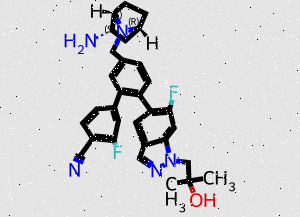 CC(C)(O)Cn1ncc2cc(-c3ccc(CN4[C@@H]5CC[C@H]4[C@@H](N)C5)cc3-c3ccc(C#N)c(F)c3)c(F)cc21